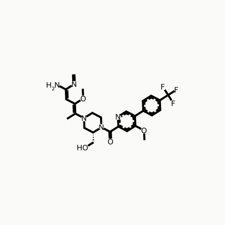 C=N/C(N)=C\C(OC)=C(/C)N1CCN(C(=O)c2cc(OC)c(-c3ccc(C(F)(F)F)cc3)cn2)[C@H](CO)C1